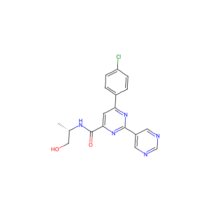 C[C@@H](CO)NC(=O)c1cc(-c2ccc(Cl)cc2)nc(-c2cncnc2)n1